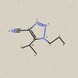 CCCn1nnc(C#N)c1C(C)C